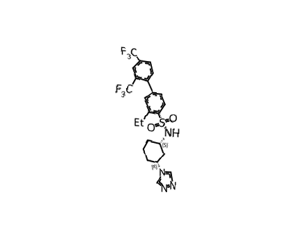 CCc1cc(-c2ccc(C(F)(F)F)cc2C(F)(F)F)ccc1S(=O)(=O)N[C@H]1CCC[C@@H](n2cnnc2)C1